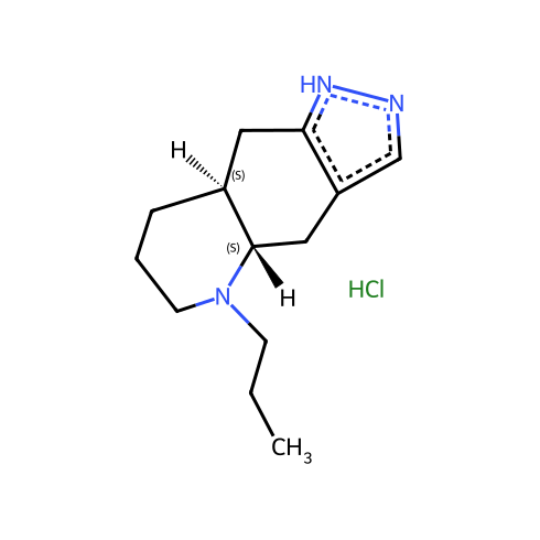 CCCN1CCC[C@H]2Cc3[nH]ncc3C[C@@H]21.Cl